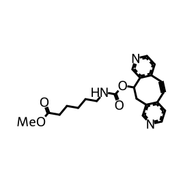 COC(=O)CCCCCNC(=O)OC1Cc2cnccc2C#Cc2ccncc21